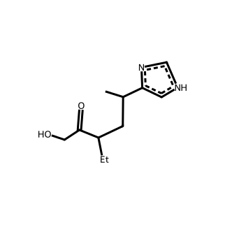 CCC(CC(C)c1c[nH]cn1)C(=O)CO